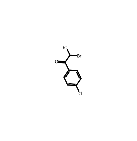 CCC(Br)C(=O)c1ccc(Cl)cc1